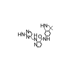 CNc1nccc(CNc2ncccc2C(=O)Nc2ccc3c(c2)CNCC3(C)C)n1